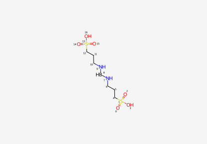 O=S(=O)(O)CCCNBNCCCS(=O)(=O)O